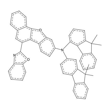 CC1(C)c2ccccc2-c2ccc(N(c3ccc4c(c3)oc3c5ccccc5cc(-c5nc6ccccc6o5)c43)c3cccc4c3-c3ccccc3C4(C)C)cc21